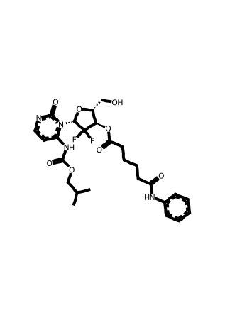 CC(C)COC(=O)Nc1ccnc(=O)n1[C@@H]1O[C@H](CO)[C@@H](OC(=O)CCCCC(=O)Nc2ccccc2)C1(F)F